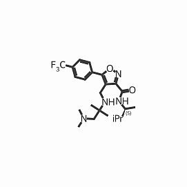 CC(C)[C@H](C)NC(=O)c1noc(-c2ccc(C(F)(F)F)cc2)c1CNC(C)(C)CN(C)C